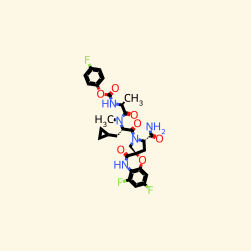 C[C@H](NC(=O)Oc1ccc(F)cc1)C(=O)N(C)[C@@H](CC1CC1)C(=O)N1C[C@@]2(C[C@H]1C(N)=O)Oc1cc(F)cc(F)c1NC2=O